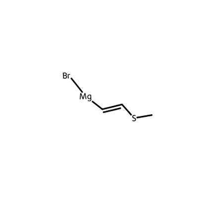 CSC=[CH][Mg][Br]